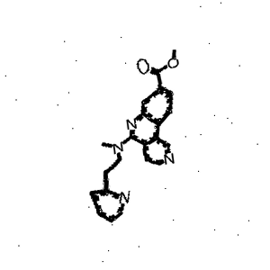 COC(=O)c1ccc2c(c1)nc(N(C)CCc1ccccn1)c1ccncc12